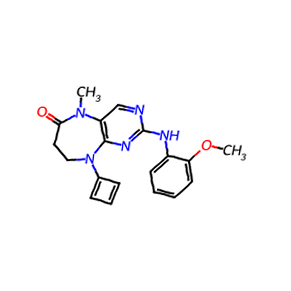 COc1ccccc1Nc1ncc2c(n1)N(C1=CC=C1)CCC(=O)N2C